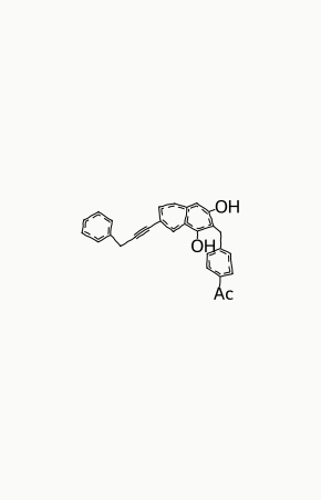 CC(=O)c1ccc(Cc2c(O)cc3ccc(C#CCc4ccccc4)cc3c2O)cc1